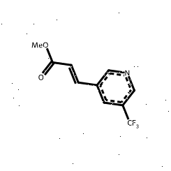 COC(=O)/C=C/c1cncc(C(F)(F)F)c1